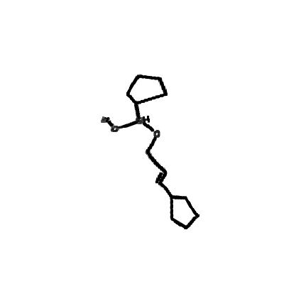 CCO[SiH](OCC=CC1CCCC1)C1CCCC1